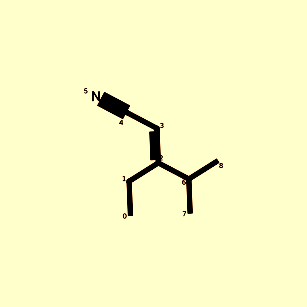 CC/C(=C\C#N)C(C)C